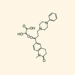 CN1C(=O)CCc2cc(C(=O)CCN3CCN(c4ccccc4)CC3)ccc21.O=C(O)C(=O)O